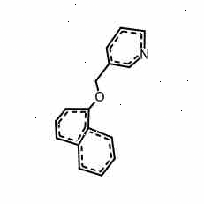 c1cncc(COc2cccc3ccccc23)c1